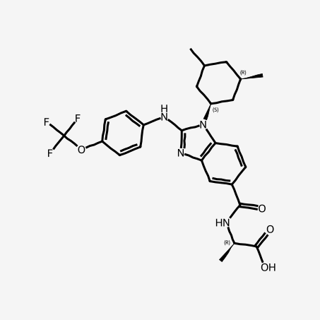 CC1C[C@@H](C)C[C@@H](n2c(Nc3ccc(OC(F)(F)F)cc3)nc3cc(C(=O)N[C@H](C)C(=O)O)ccc32)C1